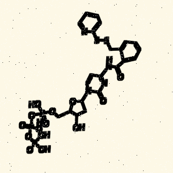 O=C(Nc1ccn(C2CC(O)C(COP(=O)(O)OP(=O)(O)OP(=O)(O)O)O2)c(=O)n1)c1ccccc1CSSc1ccccn1